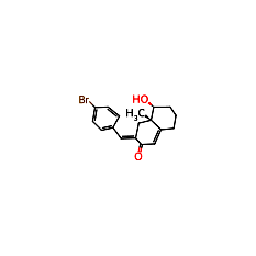 C[C@]12CC(=Cc3ccc(Br)cc3)C(=O)C=C1CCC[C@@H]2O